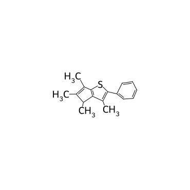 CC1=C(C)C(C)c2c1sc(-c1ccccc1)c2C